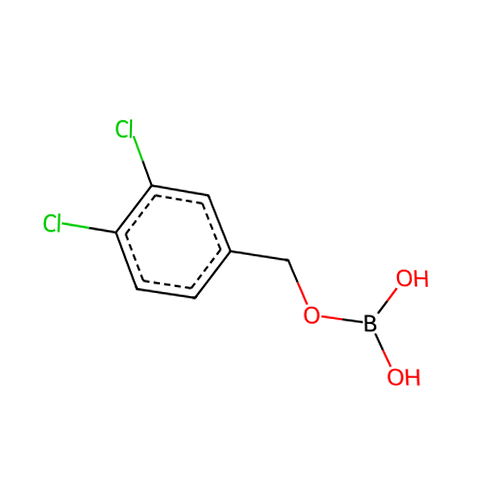 OB(O)OCc1ccc(Cl)c(Cl)c1